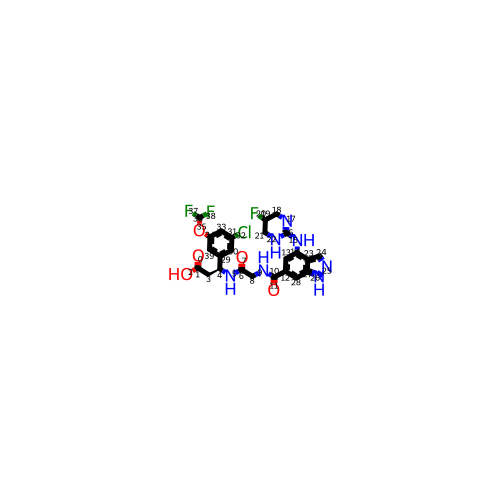 O=C(O)C[C@H](NC(=O)CNC(=O)c1cc(NC2=NCC(F)CN2)c2cn[nH]c2c1)c1cc(Cl)cc(OC(F)F)c1